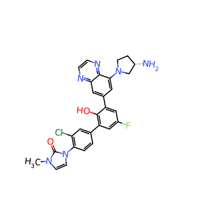 Cn1ccn(-c2ccc(-c3cc(F)cc(-c4cc(N5CC[C@H](N)C5)c5nccnc5c4)c3O)cc2Cl)c1=O